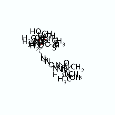 C=CCn1c(=O)c2cnc(Nc3ccc(N4CCN(CCCCCC(=O)N[C@H](C(=O)N5C[C@H](O)C[C@@]5(C(=O)N[C@@H](C)c5ccc(-c6scnc6C)cc5)C(C)(C)C)C(C)(C)C)CC4)cc3)nc2n1-c1cccc(C(C)(C)O)n1